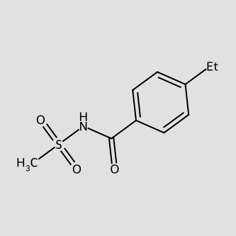 CCc1ccc(C(=O)NS(C)(=O)=O)cc1